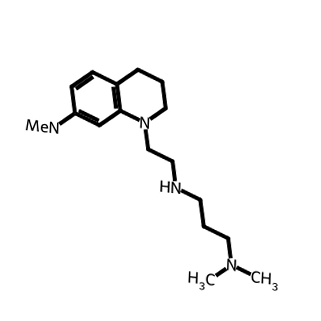 CNc1ccc2c(c1)N(CCNCCCN(C)C)CCC2